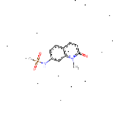 Cn1c(=O)ccc2ccc(NS(C)(=O)=O)cc21